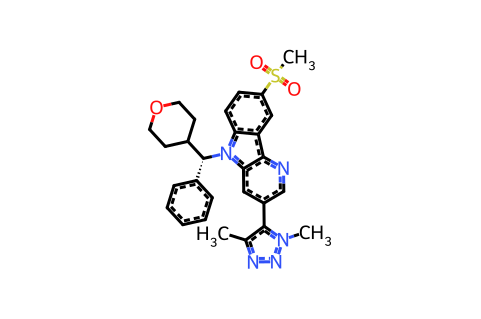 Cc1nnn(C)c1-c1cnc2c3cc(S(C)(=O)=O)ccc3n([C@H](c3ccccc3)C3CCOCC3)c2c1